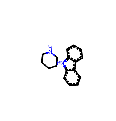 C1CCNCC1.c1ccc2c(c1)[nH]c1ccccc12